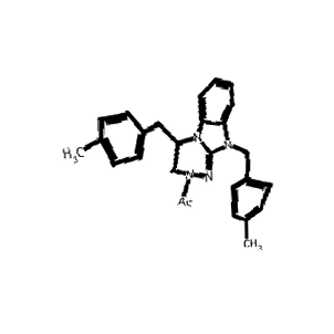 CC(=O)N1CC(Cc2ccc(C)cc2)N2C(=N1)N(Cc1ccc(C)cc1)c1ccccc12